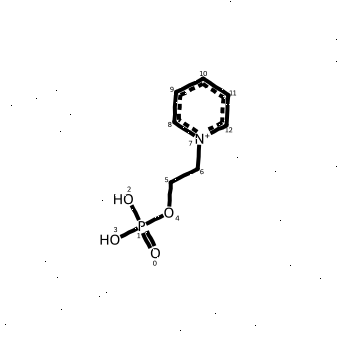 O=P(O)(O)OCC[n+]1ccccc1